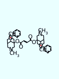 CN1CC2CN(C)CC(OC(=O)/C=C/C(=O)OC34CN(C)CC(CN(C)C3)C4Oc3ccccc3)(C1)C2Oc1ccccc1